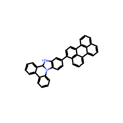 c1ccc2c(c1)-c1ccccc1N1c3ccc(-c4ccc5c6cccc7cccc(c8cccc4c85)c76)cc3NC21